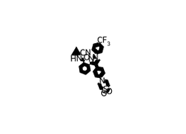 N#CC1(NC(=O)[C@@H]2CCCC[C@H]2c2nn(-c3ccc(C(F)(F)F)cc3)cc2-c2ccc(N3CCS(=O)(=O)CC3)cc2)CC1